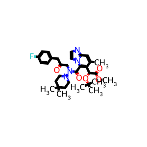 COC(=O)C(OC(C)(C)C)c1c(C)cc2nccn2c1C(=O)N(CC(=O)Cc1ccc(F)cc1)N1CCC(C)(C)CC1